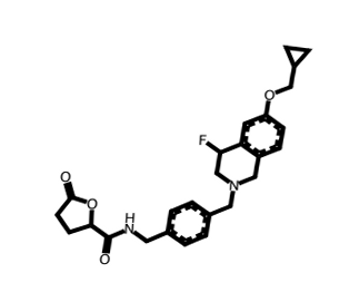 O=C1CCC(C(=O)NCc2ccc(CN3Cc4ccc(OCC5CC5)cc4C(F)C3)cc2)O1